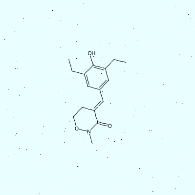 CCc1cc(C=C2CCON(C)C2=O)cc(CC)c1O